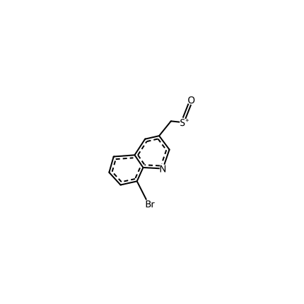 O=[S+]Cc1cnc2c(Br)cccc2c1